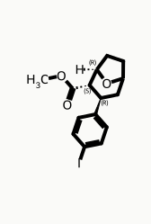 COC(=O)[C@@H]1[C@H]2CCC(C[C@H]1c1ccc(I)cc1)O2